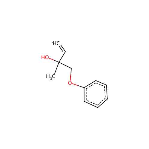 [CH]=CC(C)(O)COc1ccccc1